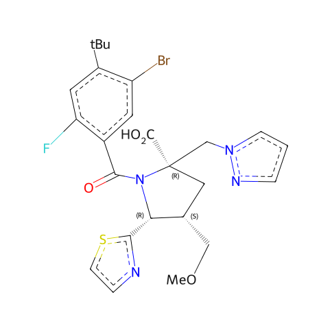 COC[C@H]1C[C@@](Cn2cccn2)(C(=O)O)N(C(=O)c2cc(Br)c(C(C)(C)C)cc2F)[C@H]1c1nccs1